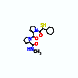 CNC(=O)C1=CCCN1C(=O)C1=CCCN1C(=O)C(S)C1CCCCC1